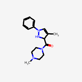 CC1=CN(c2ccccc2)NC1C(=O)N1CCN(C)CC1